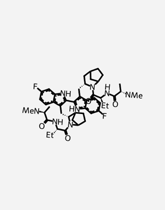 CC[C@H](NC(=O)[C@H](C)NC)C(=O)N1C2CCC(C2)C[C@H]1Cc1c(-c2[nH]c3cc(F)ccc3c2C[C@@H]2C3CCC(C3)N2C(=O)[C@H](CC)NC(=O)[C@H](C)NC)[nH]c2cc(F)ccc12